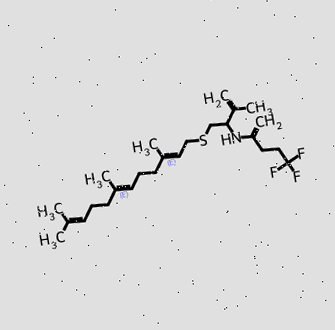 C=C(CCC(F)(F)F)NC(CSC/C=C(\C)CC/C=C(\C)CCC=C(C)C)C(=C)C